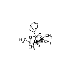 CO[Si](O[Si](C)(C)C)(O[Si](C)(C)C)C1CC2C=CC1C2